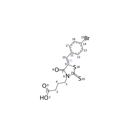 O=C(O)CCCN1C(=O)/C(=C/c2ccc(Br)cc2)SC1=S